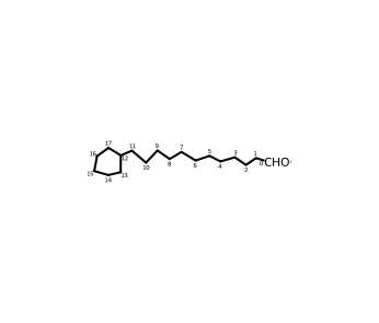 O=[C]CCCCCCCCCCCC1CCCCC1